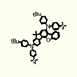 CC(C)(C)c1ccc(N(c2ccc(S(C)(C)C)cc2)c2ccc3c(c2)C(C)(C)c2cc(N(c4ccc(C(C)(C)C)cc4)c4ccc(S(C)(C)C)cc4)c4c(oc5ccccc54)c2-3)cc1